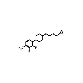 Cc1ccc(C2CCC(OCOCC3CO3)CC2)c(F)c1F